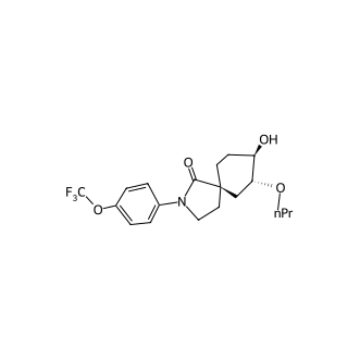 CCCO[C@@H]1C[C@@]2(CC[C@H]1O)CCN(c1ccc(OC(F)(F)F)cc1)C2=O